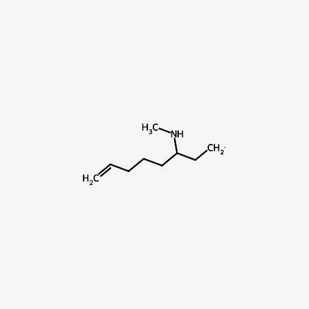 [CH2]CC(CCCC=C)NC